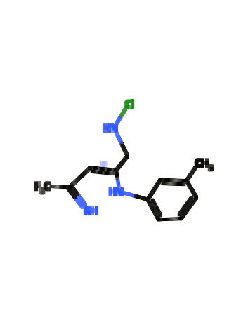 Cc1cccc(N/C(=C\C(=N)C(F)(F)F)CNCl)c1